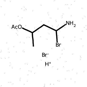 CC(=O)OC(C)CC(N)Br.[Br-].[H+]